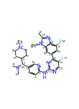 CCN1CCC([C@H](c2ccc(Nc3ncc(F)c(-c4cc(F)c5nc(C)n(C(C)C)c5c4)n3)nc2)N(C)C)CC1